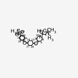 CC(C)(C)CC(=O)N1CCC(OC2CCC(Oc3ccc(S(C)(=O)=O)cc3)CC2)CC1